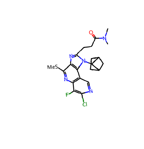 CSc1nc2c(F)c(Cl)ncc2c2c1nc(CCC(=O)N(C)C)n2C1C2CCC1C2